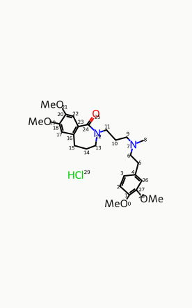 COc1ccc(CCN(C)CCCN2CCCc3cc(OC)c(OC)cc3C2=O)cc1OC.Cl